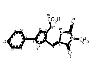 CN1C(=O)/C(=C/c2oc(-c3ccccc3)cc2CC(=O)O)SC1=S